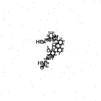 COc1nc(-c2cccc(-c3cccc(-c4cc5n(n4)CCCC5NCCO)c3Cl)c2Cl)cnc1CNC[C@@H]1CCC(=O)N1